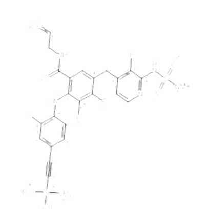 C=CCNC(=O)c1cc(Cc2ccnc(NS(=O)(=O)NC)c2F)c(F)c(F)c1Nc1ccc(C#C[Si](C)(C)C)cc1F